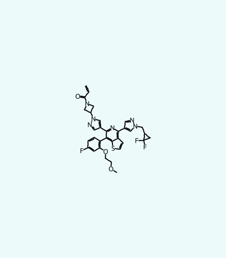 C=CC(=O)N1CC(n2cc(-c3nc(-c4cnn(CC5CC5(F)F)c4)c4ccsc4c3-c3ccc(F)cc3OCCOC)cn2)C1